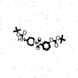 CC(C)(C)OC(=O)NC1CCN(S(=O)(=O)c2cccc(OC(=O)OC(C)(C)C)c2)CC1